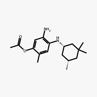 CC(=O)Oc1cc(N)c(N[C@H]2C[C@@H](C)CC(C)(C)C2)cc1C